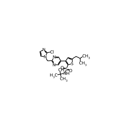 CC(C)Cc1cc(-c2cnc(Cn3ccnc3Cl)nc2)c(S(=O)(=O)NC(C)(C)C)s1